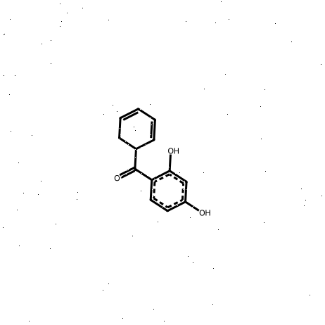 O=C(c1ccc(O)cc1O)C1C=CC=CC1